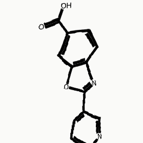 O=C(O)c1ccc2nc(-c3cccnc3)oc2c1